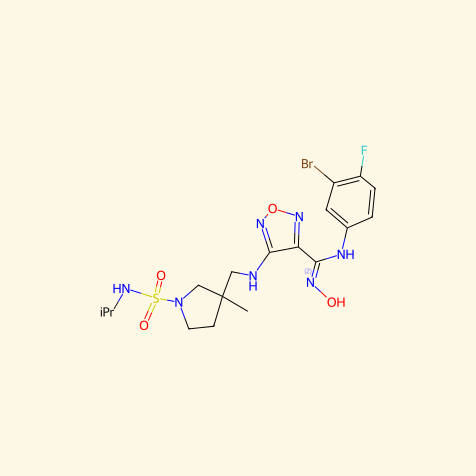 CC(C)NS(=O)(=O)N1CCC(C)(CNc2nonc2/C(=N/O)Nc2ccc(F)c(Br)c2)C1